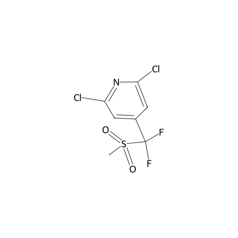 CS(=O)(=O)C(F)(F)c1cc(Cl)nc(Cl)c1